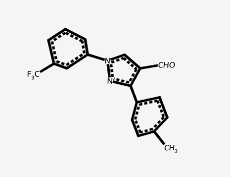 Cc1ccc(-c2nn(-c3cccc(C(F)(F)F)c3)cc2C=O)cc1